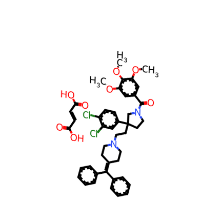 COc1cc(C(=O)N2CCC(CCN3CCC(=C(c4ccccc4)c4ccccc4)CC3)(c3ccc(Cl)c(Cl)c3)C2)cc(OC)c1OC.O=C(O)C=CC(=O)O